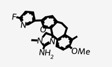 COc1ccc2c(c1C)CCc1ccc(-c3ccc(F)nc3)cc1C21N=C(N)N(C)C1=O